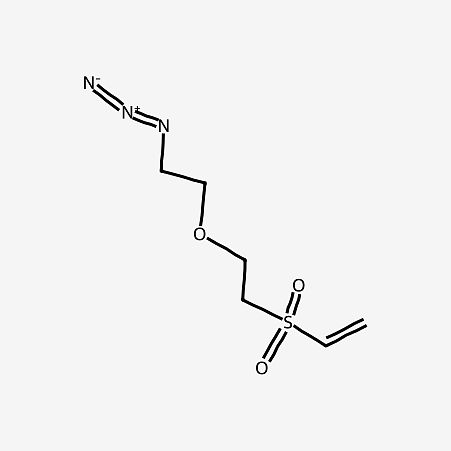 C=CS(=O)(=O)CCOCCN=[N+]=[N-]